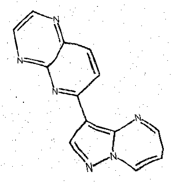 c1cnc2c(-c3ccc4nccnc4n3)cnn2c1